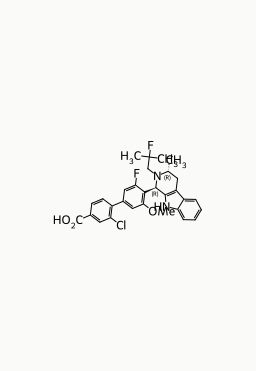 COc1cc(-c2ccc(C(=O)O)cc2Cl)cc(F)c1[C@@H]1c2[nH]c3ccccc3c2C[C@@H](C)N1CC(C)(C)F